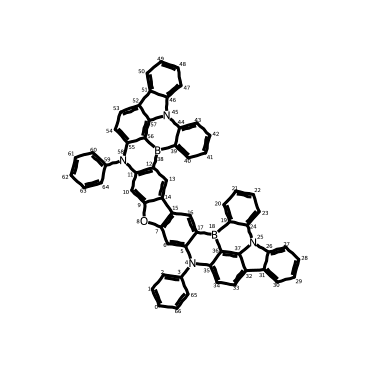 c1ccc(N2c3cc4oc5cc6c(cc5c4cc3B3c4ccccc4-n4c5ccccc5c5ccc2c3c54)B2c3ccccc3-n3c4ccccc4c4ccc(c2c43)N6c2ccccc2)cc1